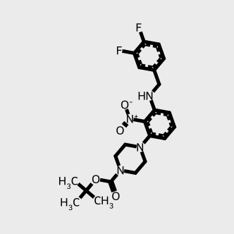 CC(C)(C)OC(=O)N1CCN(c2cccc(NCc3ccc(F)c(F)c3)c2[N+](=O)[O-])CC1